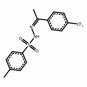 CC(=NNS(=O)(=O)c1ccc(C)cc1)c1ccc(C(F)(F)F)cc1